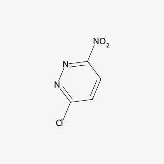 O=[N+]([O-])c1ccc(Cl)nn1